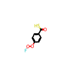 O=C(S)c1ccc(OOF)cc1